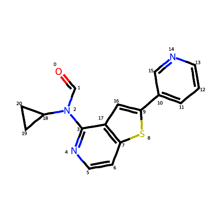 O=CN(c1nccc2sc(-c3cccnc3)cc12)C1CC1